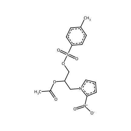 CC(=O)OC(COS(=O)(=O)c1ccc(C)cc1)Cn1cccc1[N+](=O)[O-]